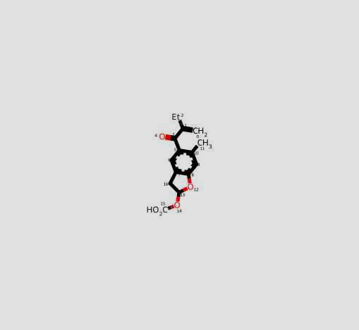 C=C(CC)C(=O)c1cc2c(cc1C)OC(OC(=O)O)C2